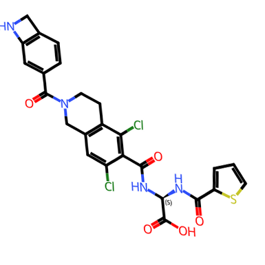 O=C(N[C@H](NC(=O)c1c(Cl)cc2c(c1Cl)CCN(C(=O)c1ccc3c(c1)NC3)C2)C(=O)O)c1cccs1